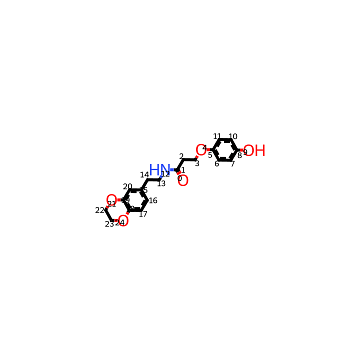 O=C(CCOc1ccc(O)cc1)NCCc1ccc2c(c1)OCCO2